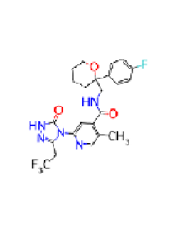 Cc1cnc(-n2c(CC(F)(F)F)n[nH]c2=O)cc1C(=O)NCC1(c2ccc(F)cc2)CCCCO1